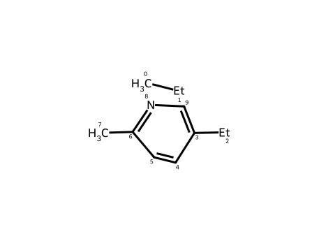 CCC.CCc1ccc(C)nc1